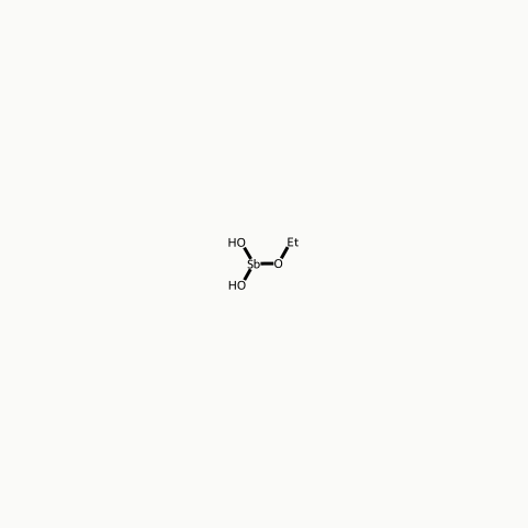 CC[O][Sb]([OH])[OH]